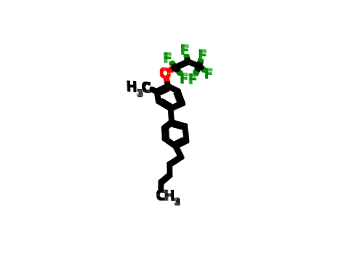 CCCCCc1ccc(-c2ccc(OC(F)(F)C(F)C(F)(F)F)c(C)c2)cc1